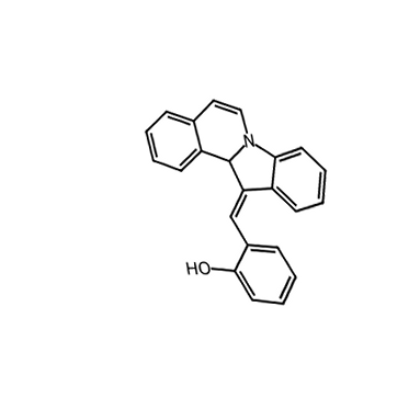 Oc1ccccc1C=C1c2ccccc2N2C=Cc3ccccc3C12